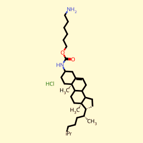 CC(C)CCC[C@@H](C)[C@H]1CCC2C3CC=C4CC(NC(=O)OCCCCCCN)CC[C@]4(C)C3CC[C@@]21C.Cl